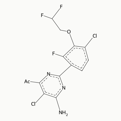 CC(=O)c1nc(-c2ccc(Cl)c(OCC(F)F)c2F)nc(N)c1Cl